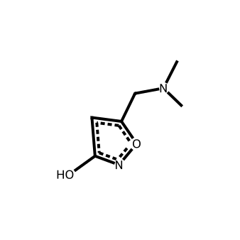 CN(C)Cc1cc(O)no1